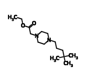 CCOC(=O)CN1CCN(CCCC(C)(C)C)CC1